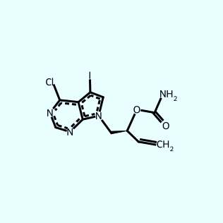 C=C[C@@H](Cn1cc(I)c2c(Cl)ncnc21)OC(N)=O